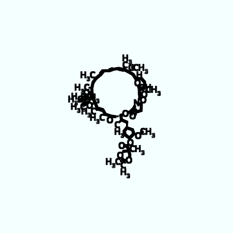 CO[C@H]1C[C@@H]2CC[C@@H](C)[C@@](O)(O2)C(=O)C(=O)N2CCC[C@H]2C(=O)O[C@H]([C@H](C)C[C@@H]2CC[C@@H](OC(=O)C3(C)COC(C)(C)OC3)[C@H](OC)C2)CC(=O)[C@H](C)/C=C(\C)[C@@H](O[Si](C)(C)C)[C@@H](OC)C(=O)[C@H](C)C[C@H](C)/C=C/C=C/C=C/1C